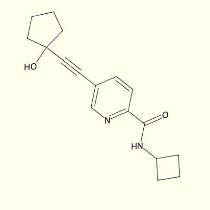 O=C(NC1CCC1)c1ccc(C#CC2(O)CCCC2)cn1